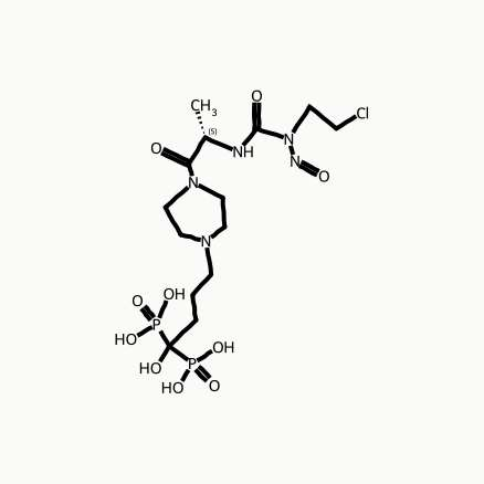 C[C@H](NC(=O)N(CCCl)N=O)C(=O)N1CCN(CCCC(O)(P(=O)(O)O)P(=O)(O)O)CC1